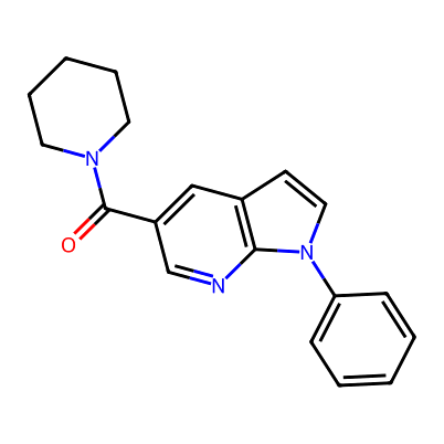 O=C(c1cnc2c(ccn2-c2ccccc2)c1)N1CCCCC1